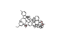 CCC1=C[C@H]2CN(C1)Cc1c([nH]c3ccc(C)cc13)[C@@](C(=O)OC)(c1cc3c(cc1OC)N(C)[C@H]1[C@@](O)(C(=O)OC)[C@H](OC(C)=O)[C@]4(CC)C=CCN5CC[C@]31[C@@H]54)C2